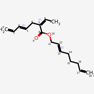 C=C/C=C/C/C(=C/C)C(=O)OC/C=C/CCCC=C